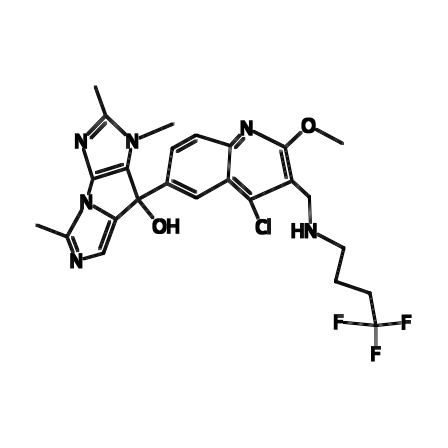 COc1nc2ccc(C3(O)c4c(nc(C)n4C)-n4c3cnc4C)cc2c(Cl)c1CNCCCC(F)(F)F